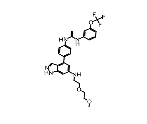 C=C(Nc1ccc(-c2cc(NCCOCCOC)cc3[nH]ncc23)cc1)Nc1cccc(OC(F)(F)F)c1